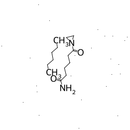 CCCCCC.NC(=O)CCCCC(=O)N1CC1